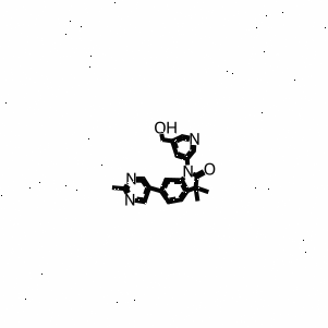 Cc1ncc(-c2ccc3c(c2)N(c2cncc(CO)c2)C(=O)C3(C)C)cn1